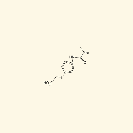 C=C(C)C(=O)Nc1ccc(SCC(=O)O)cc1